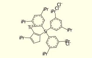 CC(C)C1=CCC([Si](c2cc(C(C)C)cc(C(C)C)c2)(c2cc(C(C)C)cc(C(C)C)c2)c2cc(C(C)C)cc(C(C)C)c2)=[C]1[Ti+3].[Cl-].[Cl-].[Cl-]